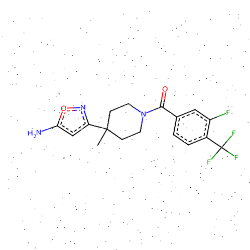 CC1(c2cc(N)on2)CCN(C(=O)c2ccc(C(F)(F)F)c(F)c2)CC1